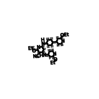 CCOc1cc(Nc2cc(Nc3ccc(-c4ccnc(OCC)c4)cc3)nc(OCC)c2C#N)ccn1